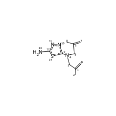 C=C(C)CN(CC(=C)C)c1nnc(N)s1